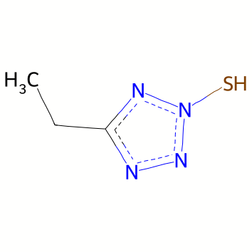 CCc1nnn(S)n1